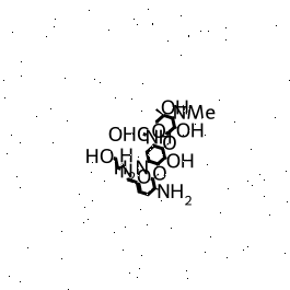 CN[C@@H]1[C@@H](O)[C@@H](O[C@H]2[C@H](NC=O)C[C@H](N)C(O[C@H]3OC(CNCCO)=CC[C@H]3N)[C@@H]2O)OC[C@]1(C)O